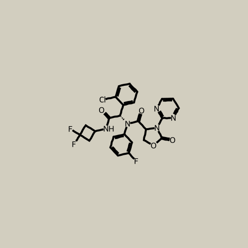 O=C(NC1CC(F)(F)C1)[C@H](c1ccccc1Cl)N(C(=O)C1COC(=O)N1c1ncccn1)c1cccc(F)c1